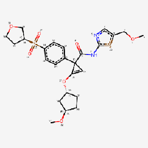 COCc1cnc(NC(=O)C2(c3ccc(S(=O)(=O)[C@H]4CCOC4)cc3)C=C2O[C@@H]2CC[C@@H](OC)C2)s1